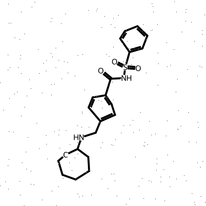 O=C(NS(=O)(=O)c1ccccc1)c1ccc(CNC2CCCCCC2)cc1